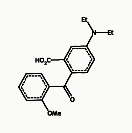 CCN(CC)c1ccc(C(=O)c2ccccc2OC)c(C(=O)O)c1